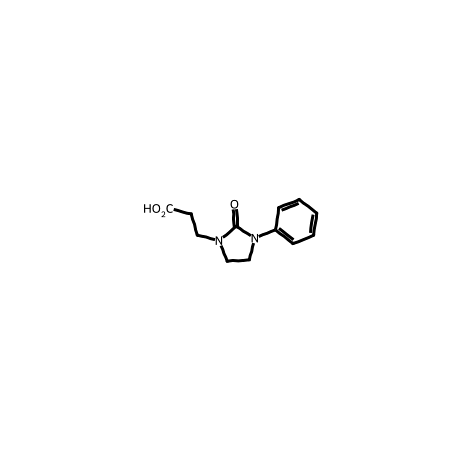 O=C(O)CCN1CCN(c2ccccc2)C1=O